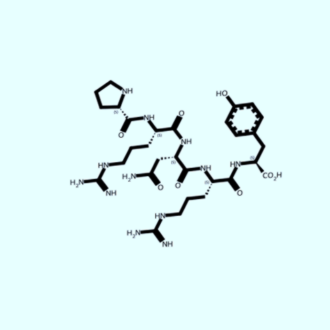 N=C(N)NCCC[C@H](NC(=O)[C@H](CC(N)=O)NC(=O)[C@H](CCCNC(=N)N)NC(=O)[C@@H]1CCCN1)C(=O)N[C@@H](Cc1ccc(O)cc1)C(=O)O